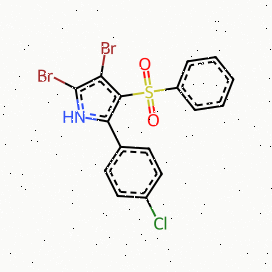 O=S(=O)(c1ccccc1)c1c(-c2ccc(Cl)cc2)[nH]c(Br)c1Br